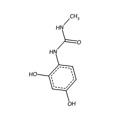 CNC(=O)Nc1ccc(O)cc1O